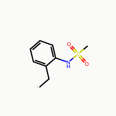 [CH2]Cc1ccccc1NS(C)(=O)=O